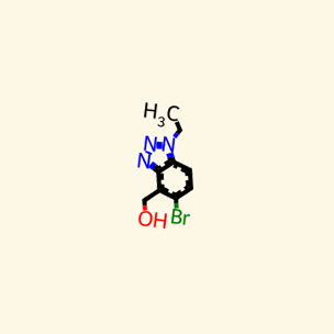 CCn1nnc2c(CO)c(Br)ccc21